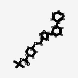 CC(C)(C)OC(=O)N1CCC(OCc2noc(-c3cccc(-c4cncnc4)c3)n2)CC1